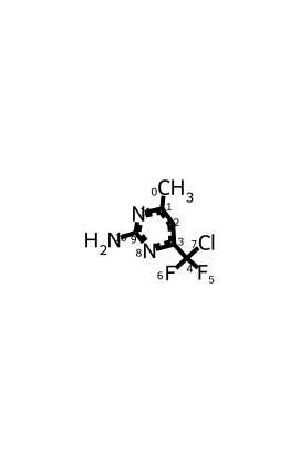 Cc1cc(C(F)(F)Cl)nc(N)n1